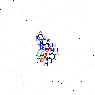 Cc1cc(C)c(NS(=O)(=O)C(F)(F)F)cc1NC(=O)NC(C)c1ncnn1-c1ncccn1